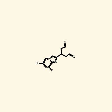 O=CCC(CC=O)c1cn2cc(Br)cc(F)c2n1